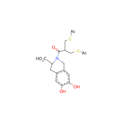 CC(=O)SCC(CSC(C)=O)C(=O)N1Cc2cc(O)c(O)cc2CC1C(=O)O